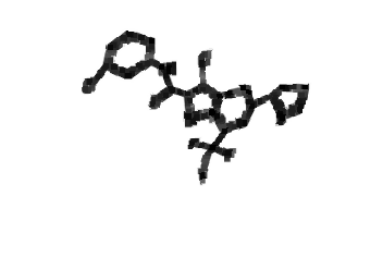 O=C(Nc1cccc(Cl)c1)c1nn2c(C(F)(F)F)cc(-c3cccs3)nc2c1Cl